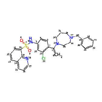 C=C(c1ccc(NS(=O)(=O)c2cccc3cccnc23)cc1Cl)N1CCCN(Cc2ccccc2)CC1